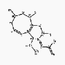 C=C(Br)/C=N\N(C)C/C1=C(COC(C)C)/C=C\CC(C)CC1C